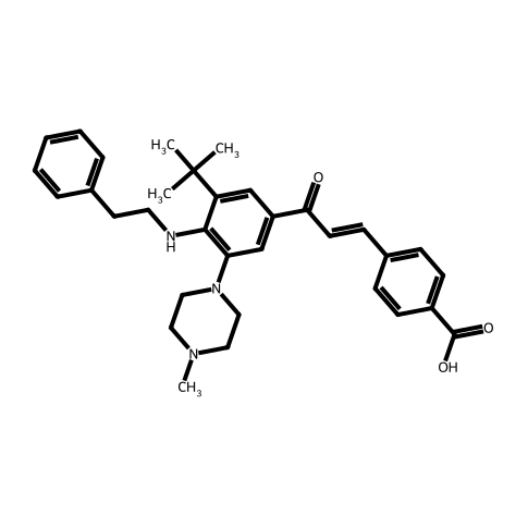 CN1CCN(c2cc(C(=O)C=Cc3ccc(C(=O)O)cc3)cc(C(C)(C)C)c2NCCc2ccccc2)CC1